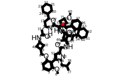 COc1cccc(OCC2CC(NC(=O)C[C@H](CCC3CCCCC3)NC(=O)c3cc(-c4c(OC)cccc4OC)n(C(C)C(C)C)n3)C2)c1-c1cc(C(=O)N[C@@H](CCC2CCCCC2)CC(=O)NC2CCC2)nn1CC(C)C